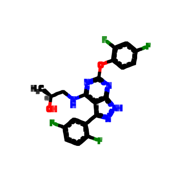 C[C@H](O)CNc1nc(Oc2ccc(F)cc2F)nc2[nH]nc(-c3cc(F)ccc3F)c12